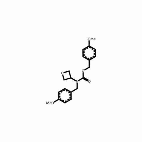 COc1ccc(COC(=O)N(Cc2ccc(OC)cc2)C2COC2)cc1